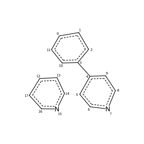 c1ccc(-c2ccncc2)cc1.c1ccncc1